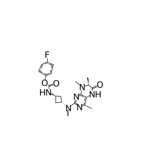 Cc1nc(N(I)[C@H]2C[C@H](NC(=O)Oc3ccc(F)cc3)C2)nc2c1NC(=O)[C@H](C)N2C